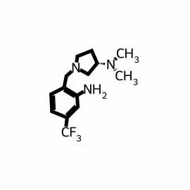 CN(C)[C@H]1CCN(Cc2ccc(C(F)(F)F)cc2N)C1